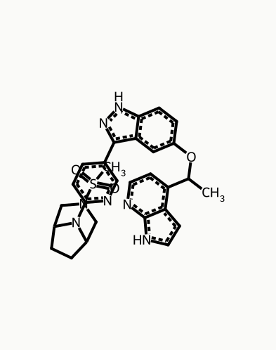 CC(Oc1ccc2[nH]nc(-c3ccc(N4C5CCC4CN(S(C)(=O)=O)C5)nc3)c2c1)c1ccnc2[nH]ccc12